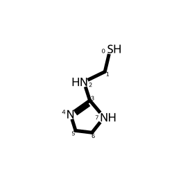 SCNC1=NCCN1